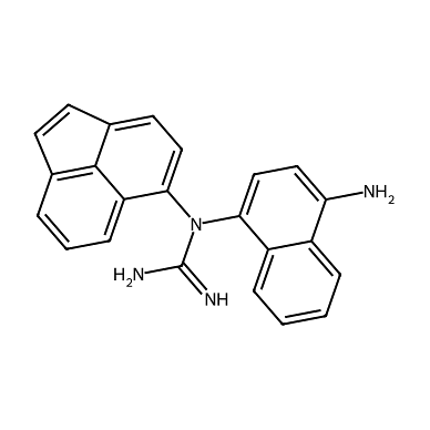 N=C(N)N(c1ccc(N)c2ccccc12)c1ccc2c3c(cccc13)C=C2